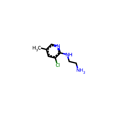 Cc1cnc(NCCN)c(Cl)c1